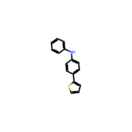 c1ccc(Nc2ccc(-c3cccs3)cc2)cc1